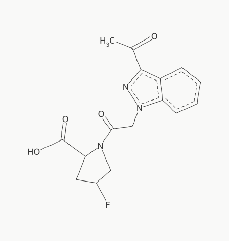 CC(=O)c1nn(CC(=O)N2CC(F)CC2C(=O)O)c2ccccc12